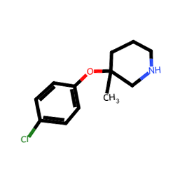 CC1(Oc2ccc(Cl)cc2)CCCNC1